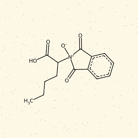 CCCCC(C(=O)O)[N+]1([O-])C(=O)c2ccccc2C1=O